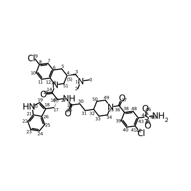 CN(C)C[C@@H]1Cc2cc(Cl)ccc2N(C(=O)[C@@H](Cc2c[nH]c3ccccc23)NC(=O)CCC2CCN(C(=O)c3ccc(Cl)c(S(N)(=O)=O)c3)CC2)C1